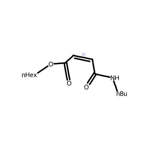 CCCCCCOC(=O)/C=C\C(=O)NCCCC